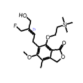 COc1c(C)c2c(c(OCC[Si](C)(C)C)c1C/C=C(/CO)CF)C(=O)OC2